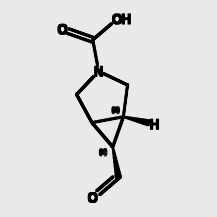 O=C[C@H]1C2CN(C(=O)O)C[C@@H]21